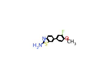 COc1ccc(-c2ccc3nc(N)sc3c2)cc1F